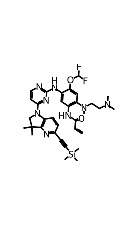 C=CC(=O)Nc1cc(Nc2nccc(N3CC(C)(C)c4nc(C#C[Si](C)(C)C)ccc43)n2)c(OC(F)F)cc1N(C)CCN(C)C